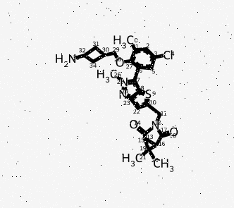 Cc1cc(Cl)cc(-c2c3sc(CN4C(=O)C5C(C4=O)C5(C)C)cc3nn2C)c1OCC1CC(N)C1